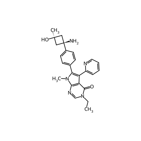 CCn1cnc2c(c(-c3ccccn3)c(-c3ccc([C@]4(N)C[C@@](C)(O)C4)cc3)n2C)c1=O